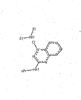 CCCNc1nc2ccccc2[n+]([O-])n1.CCNCC